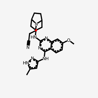 COc1ccc2c(Nc3cc(C)[nH]n3)nc(NC3CC4CCC(C3)N4CCC#N)nc2c1